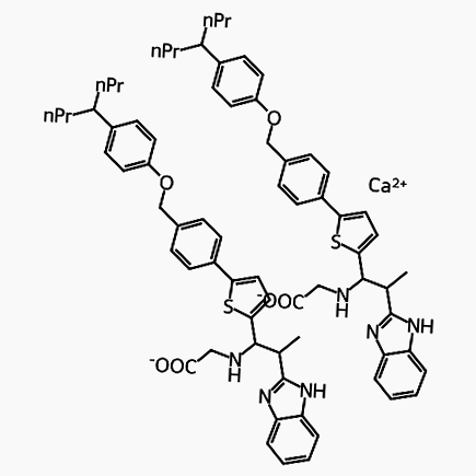 CCCC(CCC)c1ccc(OCc2ccc(-c3ccc(C(NCC(=O)[O-])C(C)c4nc5ccccc5[nH]4)s3)cc2)cc1.CCCC(CCC)c1ccc(OCc2ccc(-c3ccc(C(NCC(=O)[O-])C(C)c4nc5ccccc5[nH]4)s3)cc2)cc1.[Ca+2]